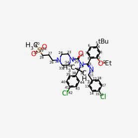 CCOc1cc(C(C)(C)C)ccc1/C(=N/Cc1ccc(Cl)cc1)N(C(=O)N1CCN(CCCS(C)(=O)=O)CC1)C(C)(C)c1ccc(Cl)cc1